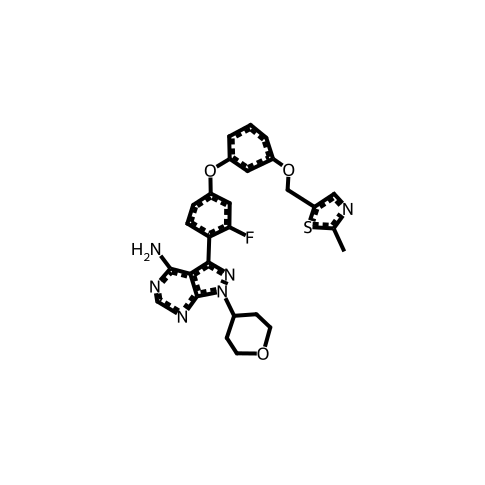 Cc1ncc(COc2cccc(Oc3ccc(-c4nn(C5CCOCC5)c5ncnc(N)c45)c(F)c3)c2)s1